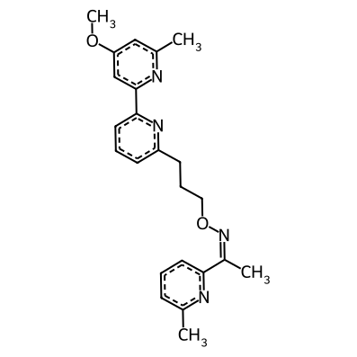 COc1cc(C)nc(-c2cccc(CCCON=C(C)c3cccc(C)n3)n2)c1